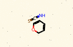 C1=CCOC=C1.N=C=S